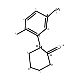 Cc1ccc(C(C)C)cc1N1CCCCC1=O